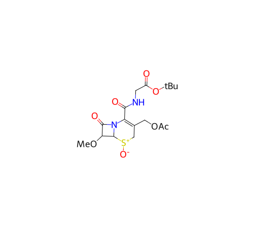 COC1C(=O)N2C(C(=O)NCC(=O)OC(C)(C)C)=C(COC(C)=O)C[S+]([O-])C12